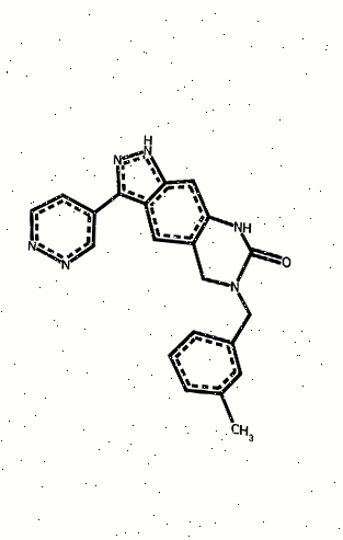 Cc1cccc(CN2Cc3cc4c(-c5ccnnc5)n[nH]c4cc3NC2=O)c1